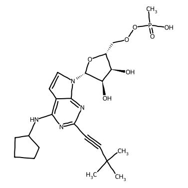 CC(C)(C)C#Cc1nc(NC2CCCC2)c2ccn([C@@H]3O[C@H](COOP(C)(=O)O)[C@@H](O)[C@H]3O)c2n1